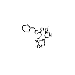 N#CC(C(=O)OCC1CCCCC1)C1NC=NC=C1N1CCNCC1